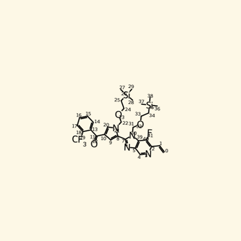 C=Cc1ncc2nc(-c3cc(C(=O)c4ccccc4C(F)(F)F)cn3COCC[Si](C)(C)C)n(COCC[Si](C)(C)C)c2c1F